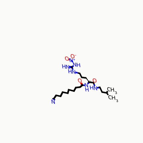 CC(C)CCNC(=O)[C@H](CCCNC(=N)N[N+](=O)[O-])NC(=O)CCCCCCCCC#N